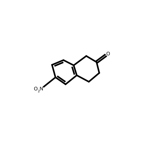 O=C1CCc2cc([N+](=O)[O-])ccc2C1